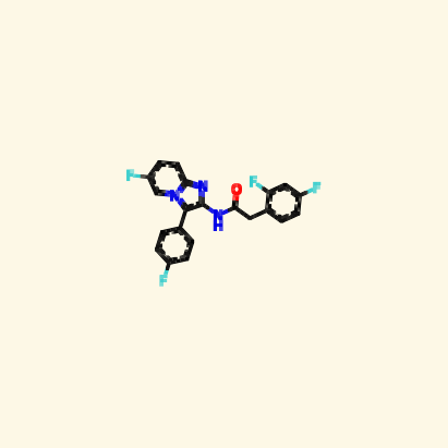 O=C(Cc1ccc(F)cc1F)Nc1nc2ccc(F)cn2c1-c1ccc(F)cc1